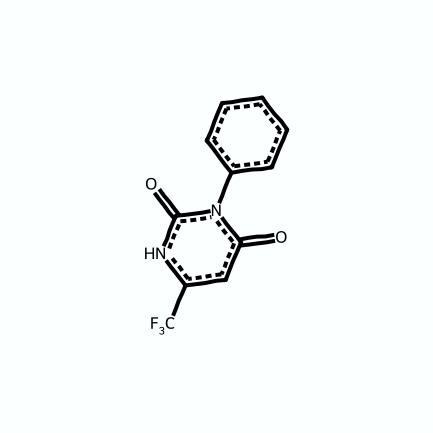 O=c1cc(C(F)(F)F)[nH]c(=O)n1-c1ccccc1